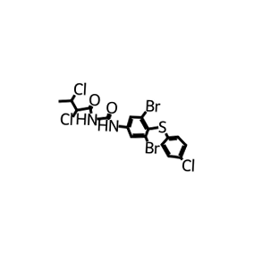 CC(Cl)C(Cl)C(=O)NC(=O)Nc1cc(Br)c(Sc2ccc(Cl)cc2)c(Br)c1